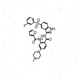 CN1CCN(c2ccc(C(=O)Nc3n[nH]c4ccc(S(=O)(=O)c5cccc(F)c5)cc34)c(NC(=O)c3ccco3)c2)CC1